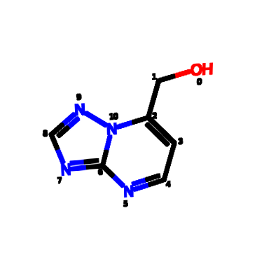 OCc1ccnc2ncnn12